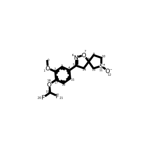 COc1cc(C2=NOC3(CC[S+]([O-])C3)C2)ccc1OC(F)F